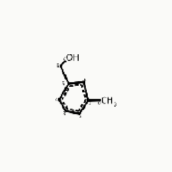 Cc1cccc([CH]O)c1